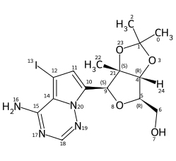 CC1(C)O[C@@H]2[C@@H](CO)O[C@@H](c3cc(I)c4c(N)ncnn34)[C@]2(C)O1